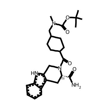 CN(CC1CCC(C(=O)N2Cc3[nH]c4ccccc4c3C[C@H]2C(N)=O)CC1)C(=O)OC(C)(C)C